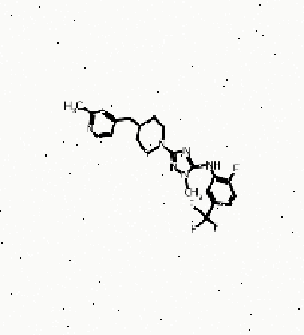 Cc1cc(CC2CCN(c3nc(Nc4cc(C(F)(F)F)ccc4F)n(C)n3)CC2)ccn1